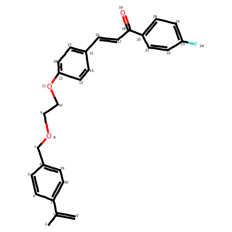 C=C(C)c1ccc(COCCOc2ccc(C=CC(=O)c3ccc(F)cc3)cc2)cc1